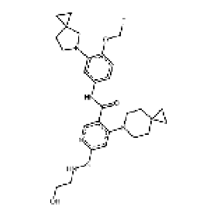 O=C(Nc1ccc(OCF)c(N2CCC3(CC3)C2)c1)c1cnc(SNCCO)cc1N1CCC2(CC1)CC2